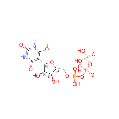 COc1c([C@@H]2O[C@H](COP(=O)(O)OP(=O)(O)OP(=O)(O)O)[C@@H](O)[C@H]2O)c(=O)[nH]c(=O)n1C